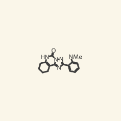 CNc1ccccc1-c1nc2c3c([nH]c(=O)n2n1)CCCC3